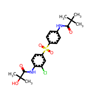 CC(C)(C)C(=O)Nc1ccc(S(=O)(=O)c2ccc(NC(=O)C(C)(C)O)c(Cl)c2)cc1